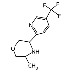 CC1COCC(c2ccc(C(F)(F)F)cn2)N1